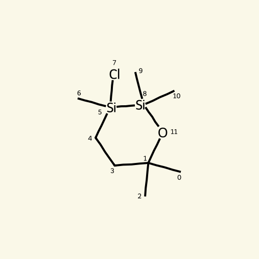 CC1(C)CC[Si](C)(Cl)[Si](C)(C)O1